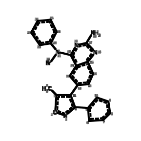 Cc1onc(-c2ccccc2)c1-c1ccc2nc(N)nc(N(Br)c3ccccc3)c2c1